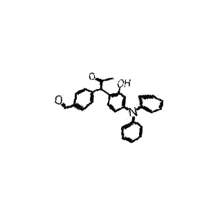 CC(=O)C(c1ccc(C=O)cc1)c1ccc(N(c2ccccc2)c2ccccc2)cc1O